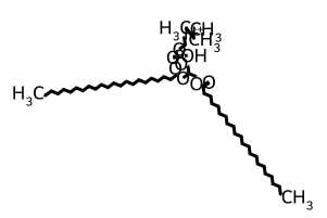 CCCCCCCCCCCCCCCCCCCCCCC(=O)OCC(COP(=O)(O)OCC[N+](C)(C)C)OC(=O)CCCCCCCCCCCCCCCCCCCCCC